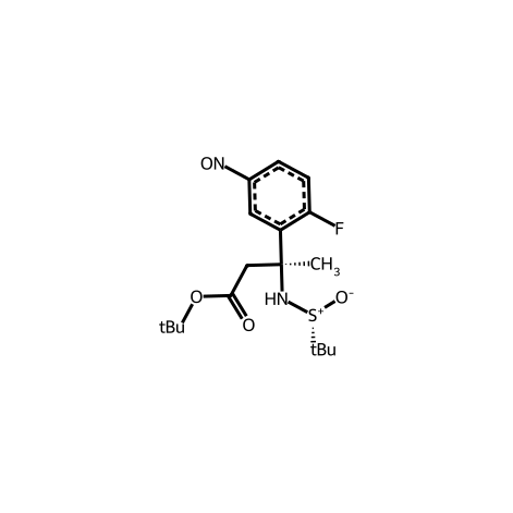 CC(C)(C)OC(=O)C[C@](C)(N[S@+]([O-])C(C)(C)C)c1cc(N=O)ccc1F